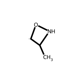 CC1[CH]ON1